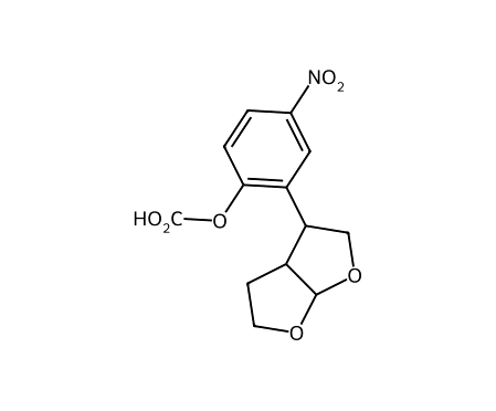 O=C(O)Oc1ccc([N+](=O)[O-])cc1C1COC2OCCC21